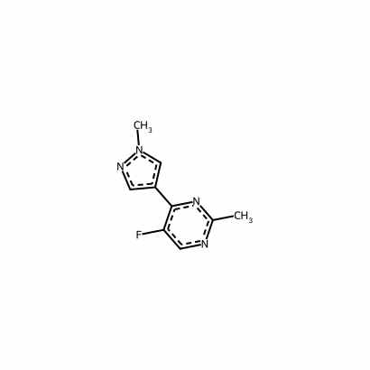 Cc1ncc(F)c(-c2cnn(C)c2)n1